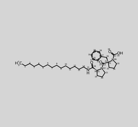 CCCCCCCCCCCCCCCNC(=O)[C@@H]1CCCN1C(=O)[C@@]1(Cc2ccccc2)CCCN1C(=O)O